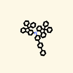 c1ccc(-c2ccc(-c3ccc(N(c4ccc5c(c4)C(c4ccccc4)(c4ccccc4)c4ccccc4-5)c4cccc5c4-c4ccccc4C5(c4ccccc4)c4ccccc4)cc3)cc2)cc1